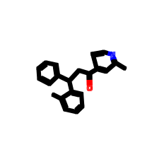 Cc1cc(C(=O)CC(c2c[c]ccc2)c2ccccc2C)ccn1